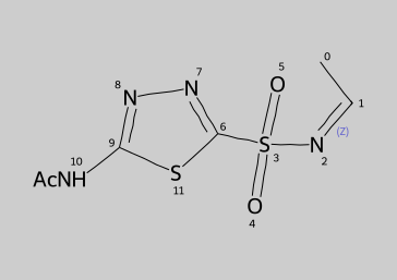 C/C=N\S(=O)(=O)c1nnc(NC(C)=O)s1